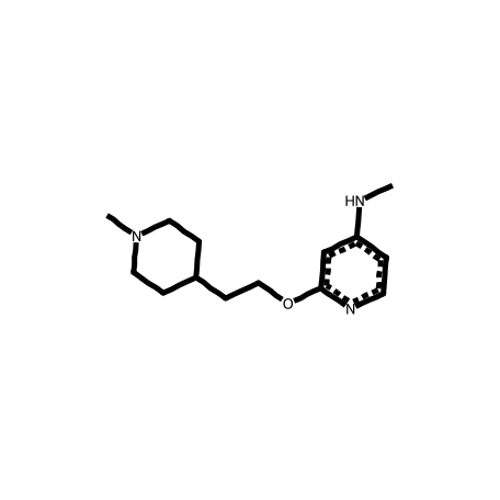 CNc1ccnc(OCCC2CCN(C)CC2)c1